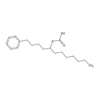 CCCCCCCC(CCCCc1ccccc1)OC(=O)O